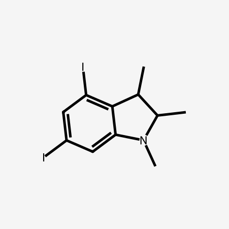 CC1c2c(I)cc(I)cc2N(C)C1C